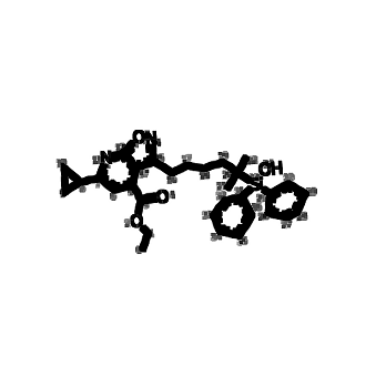 CCOC(=O)c1cc(C2CC2)nc2onc(CCCCC(C)(C)[Si](O)(c3ccccc3)c3ccccc3)c12